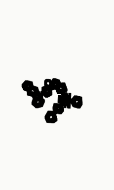 c1ccc(-c2ccc(-c3nc(-c4ccccc4)nc(-c4ccc5ccc6oc7cc(-n8c9ccccc9c9cc%10ccccc%10cc98)ccc7c6c5c4)n3)cc2)cc1